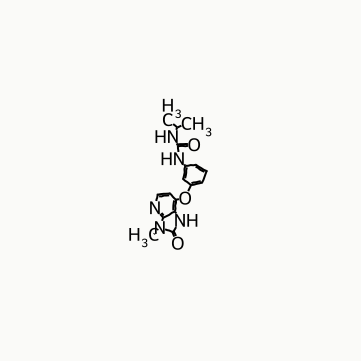 CC(C)NC(=O)Nc1cccc(Oc2ccnc3c2[nH]c(=O)n3C)c1